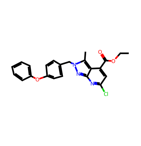 CCOC(=O)c1cc(Cl)nc2nn(Cc3ccc(Oc4ccccc4)cc3)c(C)c12